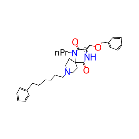 CCCN1C(=O)[C@@H](COCc2ccccc2)NC(=O)C12CCN(CCCCCCc1ccccc1)CC2